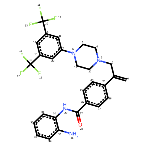 C=C(CN1CCN(c2cc(C(F)(F)F)cc(C(F)(F)F)c2)CC1)c1ccc(C(=O)Nc2ccccc2N)cc1